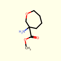 COC(=O)C1(N)CCCCOC1